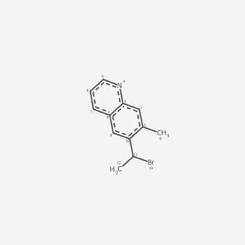 Cc1cc2ncccc2cc1C(C)Br